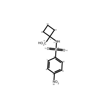 O=C(O)C1(NS(=O)(=O)c2ccc([N+](=O)[O-])cc2)CCC1